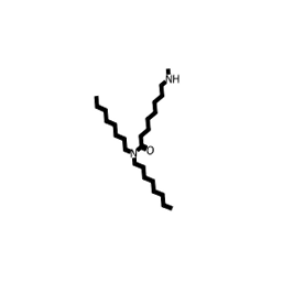 CCCCCCCCN(CCCCCCCC)C(=O)CCCCCCCNC